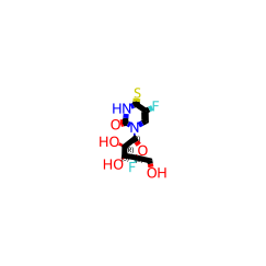 O=c1[nH]c(=S)c(F)cn1[C@@H]1O[C@](F)(CO)[C@@H](O)[C@H]1O